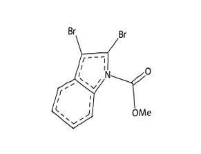 COC(=O)n1c(Br)c(Br)c2ccccc21